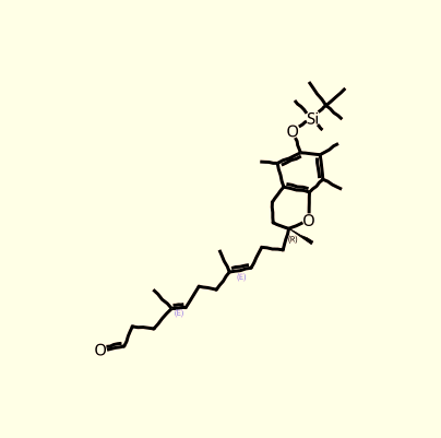 C/C(=C\CC/C(C)=C/CC[C@]1(C)CCc2c(C)c(O[Si](C)(C)C(C)(C)C)c(C)c(C)c2O1)CCC=O